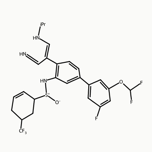 CC(C)N/C=C(\C=N)c1ccc(-c2cc(F)cc(OC(F)F)c2)cc1N[S+]([O-])C1C=CCC(C(F)(F)F)C1